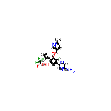 N#Cc1ccc(COc2c(C3CCC3)ccc(-c3cnc(N)cn3)c2F)cn1.O=C(O)C(F)(F)F